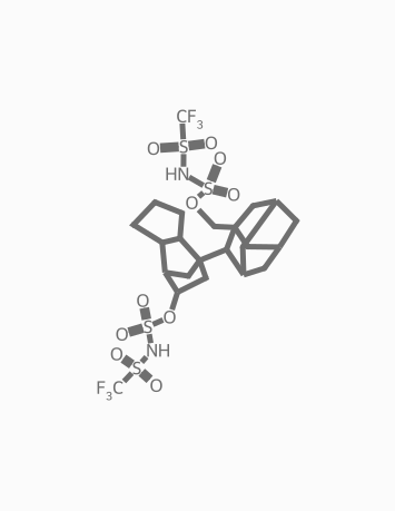 O=S(=O)(NS(=O)(=O)C(F)(F)F)OCC12CC3CC(CC(C3)C1C13CC(OS(=O)(=O)NS(=O)(=O)C(F)(F)F)C(C1)C1CCCC13)C2